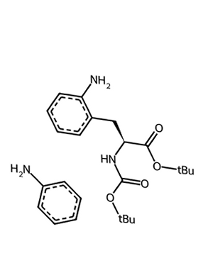 CC(C)(C)OC(=O)N[C@@H](Cc1ccccc1N)C(=O)OC(C)(C)C.Nc1ccccc1